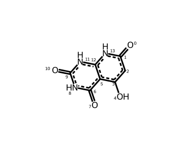 O=c1cc(O)c2c(=O)[nH]c(=O)[nH]c2[nH]1